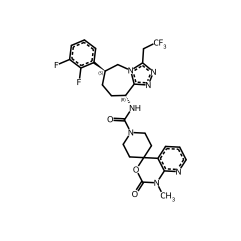 CN1C(=O)OC2(CCN(C(=O)N[C@@H]3CC[C@@H](c4cccc(F)c4F)Cn4c(CC(F)(F)F)nnc43)CC2)c2cccnc21